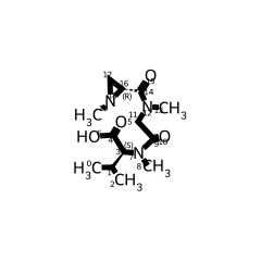 CC(C)[C@@H](C(=O)O)N(C)C(=O)CN(C)C(=O)[C@H]1CN1C